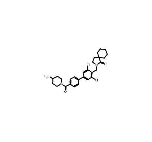 O=C(c1ccc(-c2cc(Cl)c(CN3CCC4(CCCCC4)C3=O)c(Cl)c2)cc1)N1CCC(C(F)(F)F)CC1